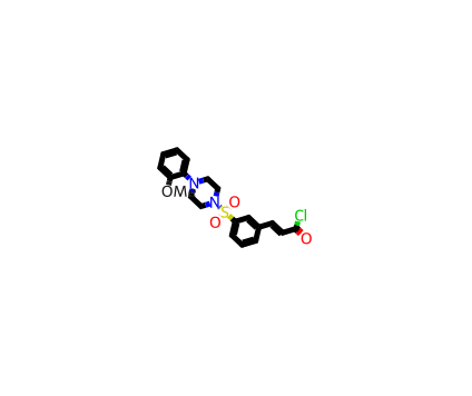 COc1ccccc1N1CCN(S(=O)(=O)c2cccc(C=CC(=O)Cl)c2)CC1